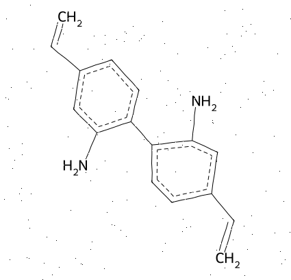 C=Cc1ccc(-c2ccc(C=C)cc2N)c(N)c1